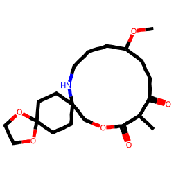 COC1CCCNC2(CCC3(CC2)OCCO3)COC(=O)C(C)C(=O)CC1